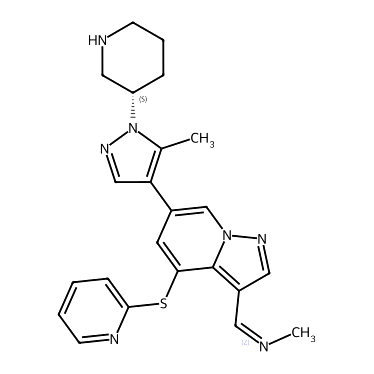 C/N=C\c1cnn2cc(-c3cnn([C@H]4CCCNC4)c3C)cc(Sc3ccccn3)c12